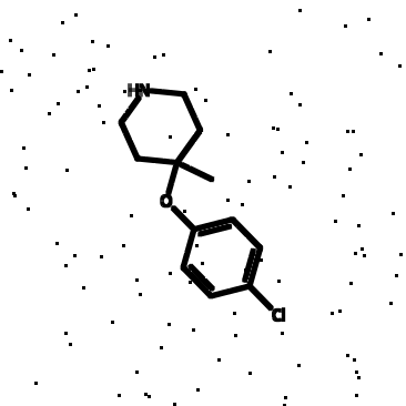 CC1(Oc2ccc(Cl)cc2)CCNCC1